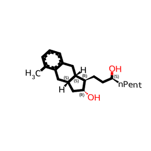 CCCCC[C@H](O)CC[C@@H]1[C@H]2Cc3cccc(C)c3C[C@H]2C[C@H]1O